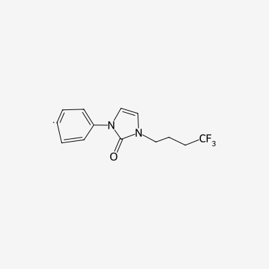 O=c1n(CCCC(F)(F)F)ccn1-c1cc[c]cc1